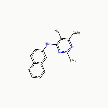 COc1nc(SC)nc(Nc2ccc3ncccc3c2)c1C#N